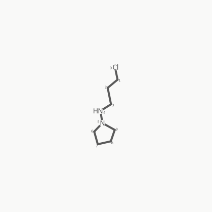 ClCCCNN1CCCC1